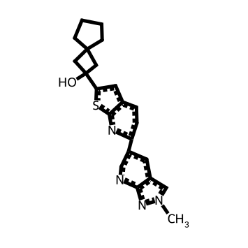 Cn1cc2cc(-c3ccc4cc(C5(O)CC6(CCCC6)C5)sc4n3)cnc2n1